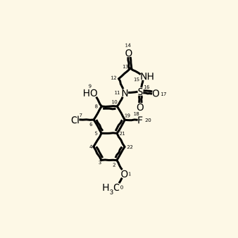 COc1ccc2c(Cl)c(O)c(N3CC(=O)NS3(=O)=O)c(F)c2c1